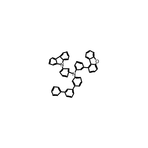 c1ccc(-c2cccc(-c3cccc(N(c4cccc(-c5cccc6oc7ccccc7c56)c4)c4cccc(-n5c6ccccc6c6ccccc65)c4)c3)c2)cc1